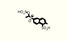 Cc1ccc2cc(S(=O)(=O)C(C)OS(=O)(=O)O)ccc2c1S(=O)(=O)O